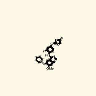 COc1cc2ncnc(Nc3ccc(Oc4nc(Br)cs4)cc3F)c2cc1ON1CCCCC1